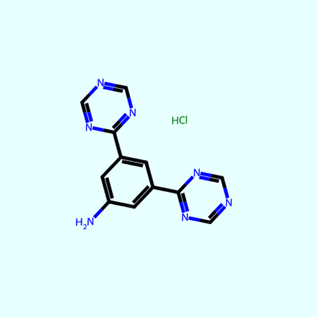 Cl.Nc1cc(-c2ncncn2)cc(-c2ncncn2)c1